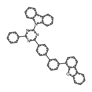 c1ccc(-c2nc(-c3ccc(-c4cccc(-c5cccc6c5oc5ccccc56)c4)cc3)nc(-n3c4ccccc4c4ccccc43)n2)cc1